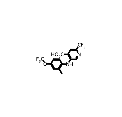 Cc1cc(OC(F)(F)F)ccc1Nc1cnc(C(F)(F)F)cc1C(=O)O